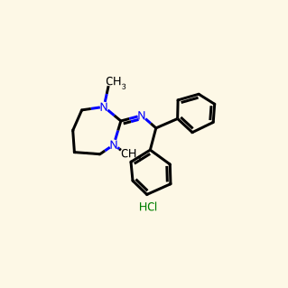 CN1CCCCN(C)C1=NC(c1ccccc1)c1ccccc1.Cl